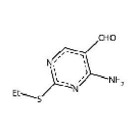 CCSc1ncc(C=O)c(N)n1